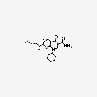 COCCNc1ncc2c(=O)c(C(N)=O)cn(C3CCCCC3)c2n1